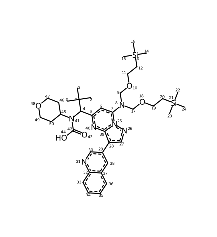 CC(C)(C)C(c1cc(N(COCC[Si](C)(C)C)COCC[Si](C)(C)C)n2ncc(-c3cnc4ccccc4c3)c2n1)N(C(=O)O)C1CCOCC1